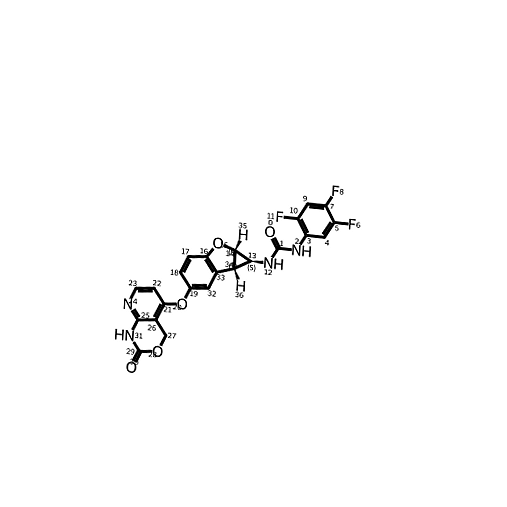 O=C(Nc1cc(F)c(F)cc1F)N[C@@H]1[C@H]2Oc3ccc(Oc4ccnc5c4COC(=O)N5)cc3[C@@H]12